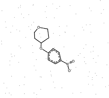 O=[N+]([O-])c1ccc(OC2CCOCC2)cc1